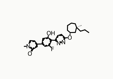 CCC[C@]1(C)CCCC[C@H](Oc2ccc(-c3c(O)cc(-c4ccn(C)c(=O)c4)cc3F)nn2)C1